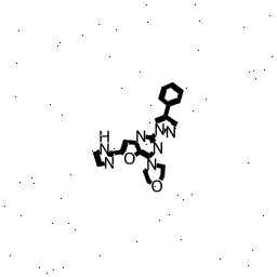 c1ccc(-c2cnn(-c3nc(N4CCOCC4)c4oc(-c5ncc[nH]5)cc4n3)c2)cc1